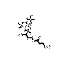 CCCCCCCCC(CCOC(=O)C=CC(=O)O)[Si](C)(C)O[Si](C)(O[Si](C)(C)C)O[Si](C)(C)C